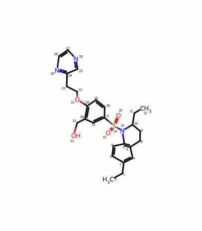 CCc1ccc2c(c1)CCC(CC)N2S(=O)(=O)c1ccc(OCCc2cnccn2)c(CO)c1